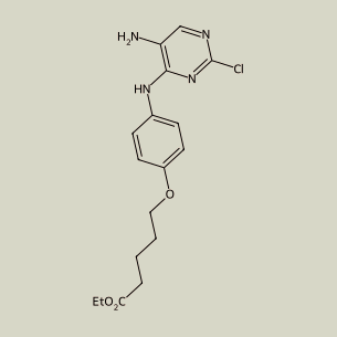 CCOC(=O)CCCCOc1ccc(Nc2nc(Cl)ncc2N)cc1